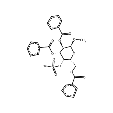 CO[C@H]1O[C@H](COC(=O)c2ccccc2)[C@H](OS(=O)(=O)O)[C@H](OC(=O)c2ccccc2)[C@H]1OC(=O)c1ccccc1